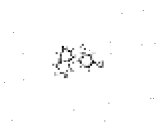 Clc1ccc(-c2cncc3ccccc23)c(Cl)c1